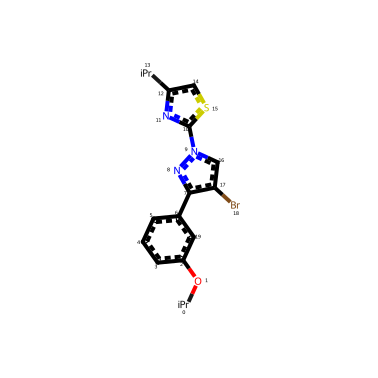 CC(C)Oc1cccc(-c2nn(-c3nc(C(C)C)cs3)cc2Br)c1